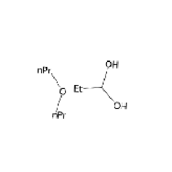 CCC(O)O.CCCOCCC